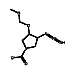 COCOC1CN(C(=O)[O-])CC1N=[N+]=N